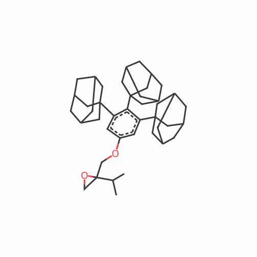 CC(C)C1(COc2cc(C34CC5CC(CC(C5)C3)C4)c(C34CC5CC(CC(C5)C3)C4)c(C34CC5CC(CC(C5)C3)C4)c2)CO1